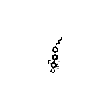 CCCCC[C@H]1CC[C@H](c2ccc(-c3c(F)cc(OC)c(F)c3F)cc2)CC1